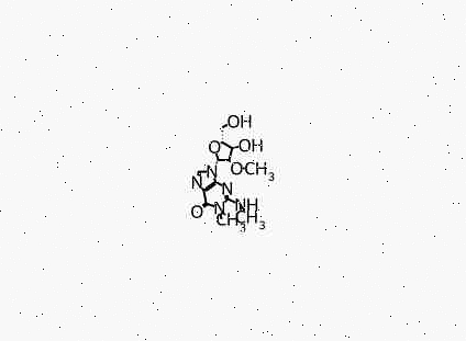 CNc1nc2c(ncn2[C@@H]2O[C@H](CO)[C@@H](O)[C@H]2OC)c(=O)n1C